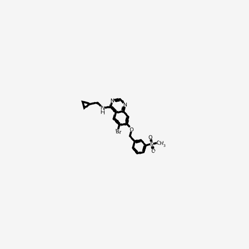 CS(=O)(=O)c1cccc(COc2cc3ncnc(NCC4CC4)c3cc2Br)c1